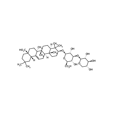 CC1(C)CC[C@]2(C(=O)O)CC[C@]3(C)C(=CC[C@@H]4[C@@]5(C)CC[C@H](O[C@@H]6O[C@H](C(=O)O)[C@@H](O)[C@H](O[C@@H]7OC[C@@H](O)[C@H](O)[C@H]7O)[C@H]6O)C(C)(C)[C@@H]5CC[C@]43C)[C@@H]2C1